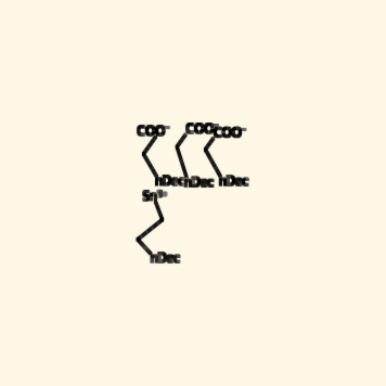 CCCCCCCCCCCC(=O)[O-].CCCCCCCCCCCC(=O)[O-].CCCCCCCCCCCC(=O)[O-].CCCCCCCCCCC[CH2][Sn+3]